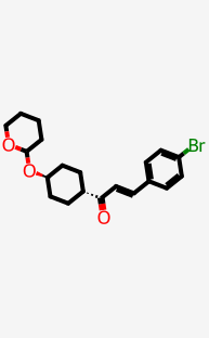 O=C(C=Cc1ccc(Br)cc1)[C@H]1CC[C@H](OC2CCCCO2)CC1